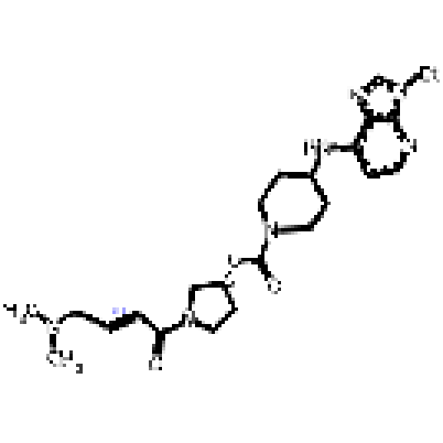 CCn1cnc2c(NC3CCN(C(=O)O[C@@H]4CCN(C(=O)/C=C/CN(C)C)C4)CC3)ccnc21